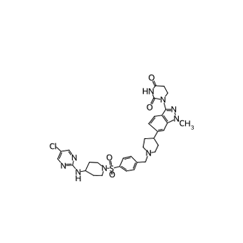 Cn1nc(N2CCC(=O)NC2=O)c2ccc(C3CCN(Cc4ccc(S(=O)(=O)N5CCC(Nc6ncc(Cl)cn6)CC5)cc4)CC3)cc21